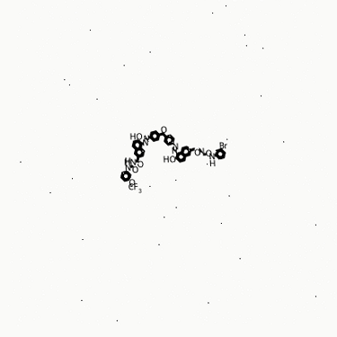 O=C(NC(=O)c1ccc2c(N=Nc3ccc(C(=O)c4ccc(N=Nc5c(O)ccc6cc(CO/N=C/ONc7cccc(Br)c7)ccc56)cc4)cc3)c(O)ccc2c1)Nc1cccc(OC(F)(F)F)c1